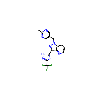 Cc1ncc(Cn2nc(-c3nc(C(F)(F)F)n[nH]3)c3ncccc32)cn1